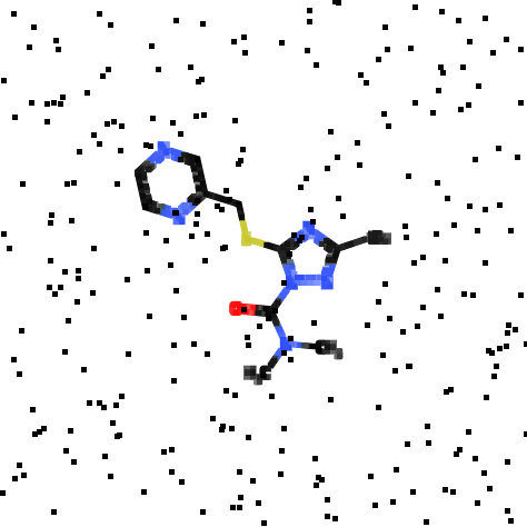 CN(C)C(=O)n1nc(C(C)(C)C)nc1SCc1cnccn1